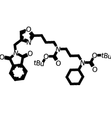 CC(C)(C)OC(=O)N(CCCc1nc(CN2C(=O)c3ccccc3C2=O)co1)CCCN(C(=O)OC(C)(C)C)C1CCCCC1